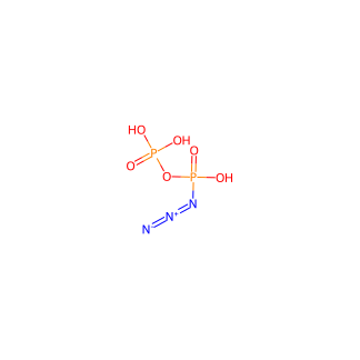 [N-]=[N+]=NP(=O)(O)OP(=O)(O)O